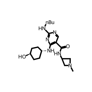 CCCCNc1ncc(C(=O)NC2CN(C)C2)c(N[C@H]2CC[C@H](O)CC2)n1